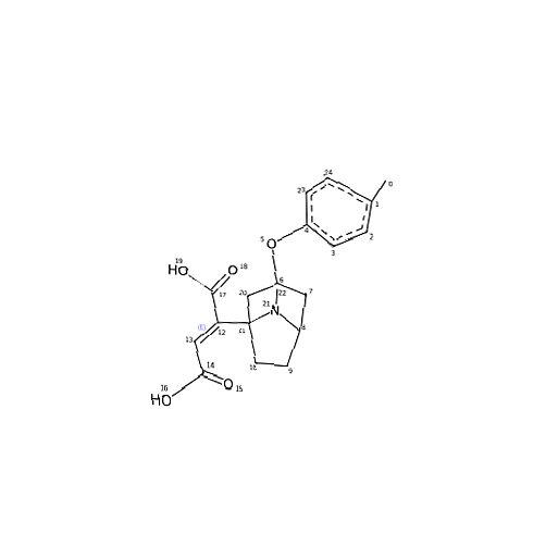 Cc1ccc(OC2CC3CCC(/C(=C\C(=O)O)C(=O)O)(C2)N3C)cc1